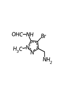 Cn1nc(CN)c(Br)c1NC=O